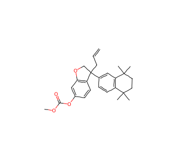 C=CCC1(c2ccc3c(c2)C(C)(C)CCC3(C)C)COc2cc(OC(=O)OC)ccc21